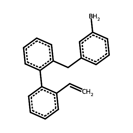 Bc1cccc(Cc2ccccc2-c2ccccc2C=C)c1